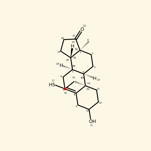 C[C@]12CC[C@@H]3[C@@H](CC=C4CC(O)CC[C@@]43CCS)[C@@H]1CCC2=O